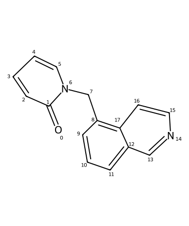 O=c1ccccn1Cc1cccc2cnccc12